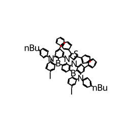 CCCCc1ccc(N2c3ccc(I)cc3B3c4ccc5c6c4N(c4cc(-c7ccccc7)cc2c43)c2c(-c3ccccc3)sc(-c3ccccc3)c2N6c2cc(-c3ccccc3)cc3c2B5c2ccc(I)cc2N3c2ccc(CCCC)cc2)cc1